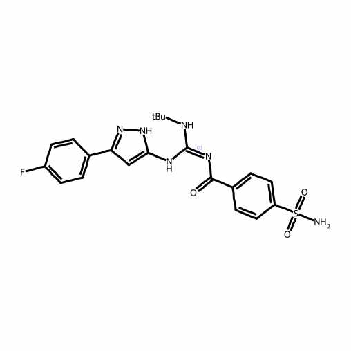 CC(C)(C)N/C(=N/C(=O)c1ccc(S(N)(=O)=O)cc1)Nc1cc(-c2ccc(F)cc2)n[nH]1